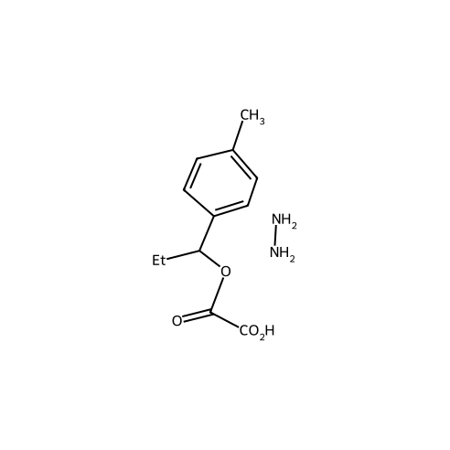 CCC(OC(=O)C(=O)O)c1ccc(C)cc1.NN